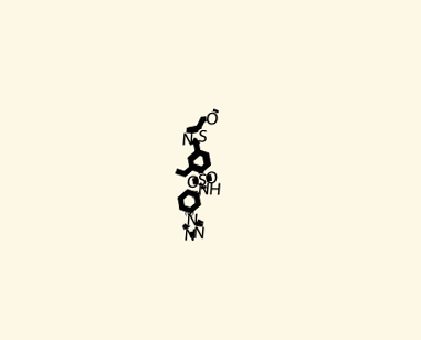 CCc1cc(-c2ncc(COC)s2)ccc1S(=O)(=O)N[C@H]1CCC[C@@H](n2cnnc2)C1